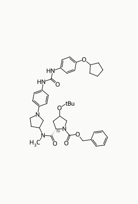 CN(C(=O)[C@@H]1CC(OC(C)(C)C)CN1C(=O)OCc1ccccc1)C1CCN(c2ccc(NC(=O)Nc3ccc(OC4CCCC4)cc3)cc2)C1